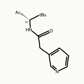 CC(=O)[C@@H](NC(=O)Cc1cccnc1)C(C)(C)C